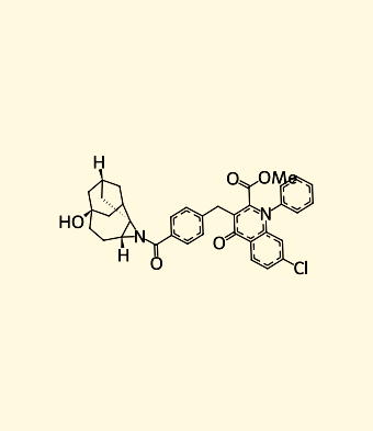 COC(=O)c1c(Cc2ccc(C(=O)N3[C@@H]4CC[C@@]5(O)CC6C[C@@H](C5)C[C@@]643)cc2)c(=O)c2ccc(Cl)cc2n1-c1ccccc1